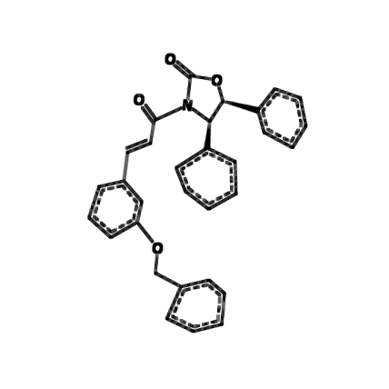 O=C(/C=C/c1cccc(OCc2ccccc2)c1)N1C(=O)O[C@@H](c2ccccc2)[C@H]1c1ccccc1